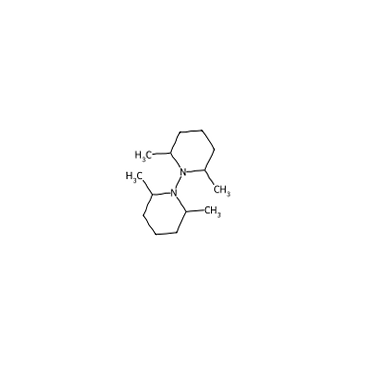 CC1CCCC(C)N1N1C(C)CCCC1C